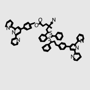 CC(C#N)(CCC(=O)OCc1ccc(-c2cc(-c3ccccn3)nc(-c3ccccn3)c2)cc1)CC(SC(SC(CCc1ccc(-c2cc(-c3ccccn3)nc(-c3ccccn3)c2)cc1)c1ccccc1)c1ccccc1)c1ccccc1